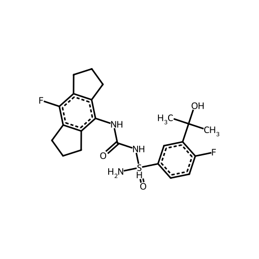 CC(C)(O)c1cc([SH](N)(=O)NC(=O)Nc2c3c(c(F)c4c2CCC4)CCC3)ccc1F